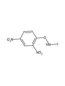 O=[N+]([O-])c1ccc(ONI)c([N+](=O)[O-])c1